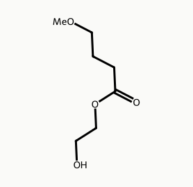 COCCCC(=O)OCCO